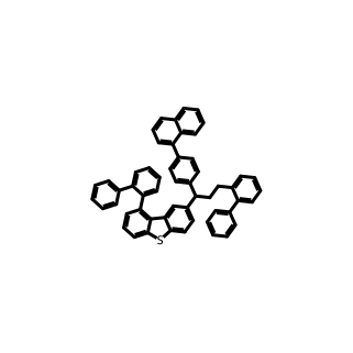 c1ccc(-c2ccccc2CCC(c2ccc(-c3cccc4ccccc34)cc2)c2ccc3sc4cccc(-c5ccccc5-c5ccccc5)c4c3c2)cc1